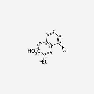 CCC(=Cc1c(F)cccc1F)C(=O)O